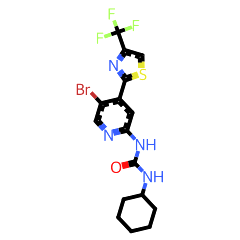 O=C(Nc1cc(-c2nc(C(F)(F)F)cs2)c(Br)cn1)NC1CCCCC1